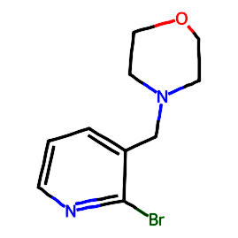 Brc1ncccc1CN1CCOCC1